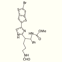 COC(=O)NC(C(C)C)C(CCCNC=O)c1nc(-c2cc3sc(Br)cc3s2)c[nH]1